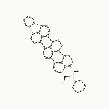 O=C1c2ccc3c4ccc5c6ccc7c8c(ccc(c9ccc(c%10ccc(c2c3%10)C(=O)N1c1ccccc1)c4c59)c86)-c1ccccc1-7